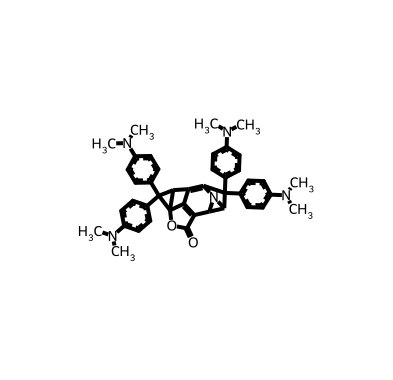 CN(C)c1ccc(C2(c3ccc(N(C)C)cc3)C3=C4C5=C(C(=O)OC56C4C6(c4ccc(N(C)C)cc4)c4ccc(N(C)C)cc4)C4C2N34)cc1